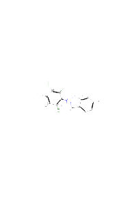 Cc1c(F)c(F)c(F)c(N2Cc3ccccc3C2)c1F